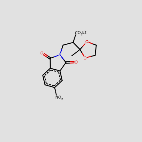 CCOC(=O)C(CN1C(=O)c2ccc([N+](=O)[O-])cc2C1=O)C1(C)OCCO1